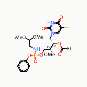 CCC(=O)O[C@@H](Cn1cc(F)c(=O)[nH]c1=O)[C@@H](COP(=O)(NCC(OC)OC)Oc1ccccc1)OC